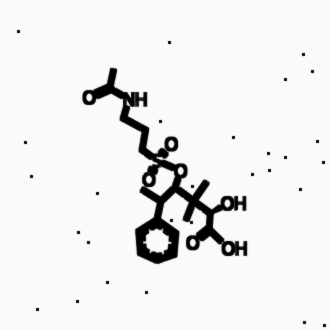 CC(=O)NCCCS(=O)(=O)OC(C(C)c1ccccc1)C(C)(C)[C@@H](O)C(=O)O